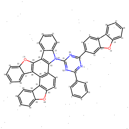 c1ccc(-c2nc(-c3ccc4c(c3)oc3ccccc34)nc(-n3c4ccccc4c4c5oc6ccccc6c5c5c(ccc6oc7ccccc7c65)c43)n2)cc1